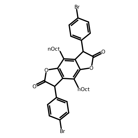 CCCCCCCCc1c2c(c(CCCCCCCC)c3c1C(c1ccc(Br)cc1)C(=O)O3)C(c1ccc(Br)cc1)C(=O)O2